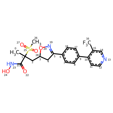 CC(CC1CC(c2ccc(-c3ccncc3C(F)(F)F)cc2)=NO1)(C(=O)NO)S(C)(=O)=O